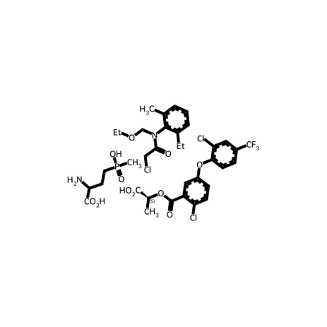 CCOCN(C(=O)CCl)c1c(C)cccc1CC.CP(=O)(O)CCC(N)C(=O)O.C[C@H](OC(=O)c1cc(Oc2ccc(C(F)(F)F)cc2Cl)ccc1Cl)C(=O)O